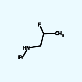 CC(F)CNC(C)C